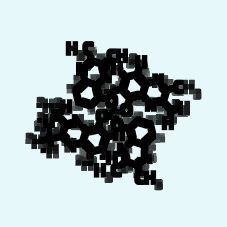 [2H]c1c([2H])c([O][Zr]([O]c2cccc3nc(C)c(C)nc23)([O]c2cccc3nc(C)c(C)nc23)[O]c2c([2H])c([2H])c([2H])c3nc(C([2H])([2H])[2H])c(C([2H])([2H])[2H])nc23)c2nc(C([2H])[2H])c(C)nc2c1[2H]